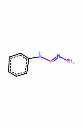 PN=PNc1ccccc1